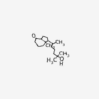 CC(CCCC(C)(C)O)C1CCC2C(=O)CCCC21C